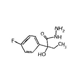 CCC(O)(C(=O)NN)c1ccc(F)cc1